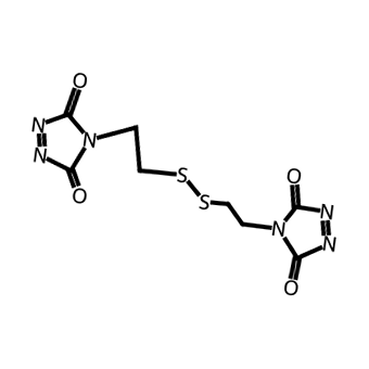 O=C1N=NC(=O)N1CCSSCCN1C(=O)N=NC1=O